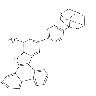 Cc1cc(-c2ccc(C34CC5CC(CC(C5)C3)C4)cc2)cc2c1oc1c3ccccc3c3ccccc3c21